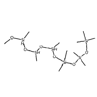 CO[SiH](C)O[SiH](C)O[SiH](C)O[Si](C)(C)O[Si](C)(C)O[Si](C)(C)C